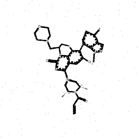 C=CC(=O)N1[C@H](C)CN(c2nc(=O)n3c4c(c(-c5ccc(F)c6cnn(C)c56)c(C(F)(F)F)cc24)SCC3CN2CCOCC2)C[C@@H]1C